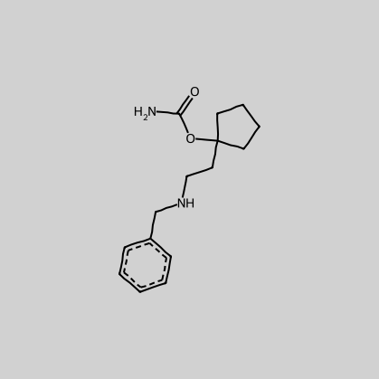 NC(=O)OC1(CCNCc2ccccc2)CCCC1